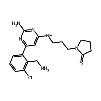 NCc1c(Cl)cccc1-c1cc(NCCCN2CCCC2=O)nc(N)n1